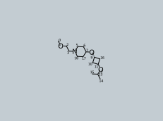 COCCN1CCC(O[C@H]2C[C@H](OC(C)C)C2)CC1